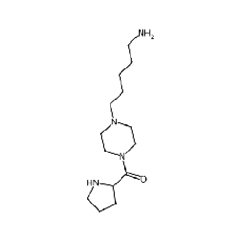 NCCCCCN1CCN(C(=O)C2CCCN2)CC1